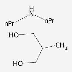 CC(CO)CO.CCCNCCC